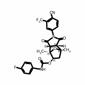 C[C@]12O[C@](C)(C[C@H]1OC(=O)Nc1ccc(F)cc1)[C@H]1C(=O)N(c3ccc(C#N)c(C(F)(F)F)c3)C(=O)[C@H]12